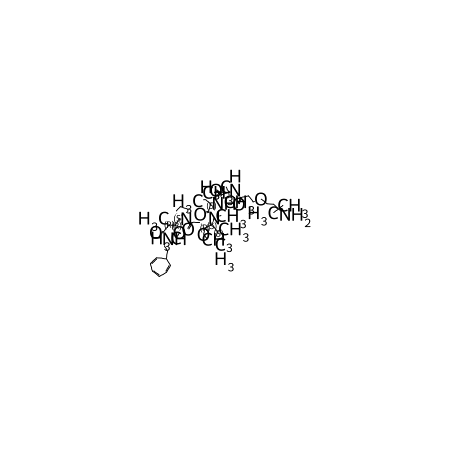 CC[C@H](C)[C@@H]([C@@H](CC(=O)N1CCC[C@H]1[C@H](OC)[C@@H](C)C(=O)NCCC1C=CC=CC=C1)OC)N(C)C(=O)[C@@H](NC(=O)C(C)(C)NC(=O)CCOCCC(C)(C)N)C(C)C